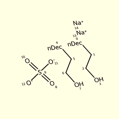 CCCCCCCCCCCCO.CCCCCCCCCCCCO.O=S(=O)([O-])[O-].[Na+].[Na+]